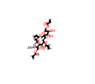 C=CC(=O)OCC1OC(CCC(OC(=O)C=C)C(O)C(OC(=O)C=C)C(COC(=O)C=C)OC)(COC(=O)C=C)C(O)C1O